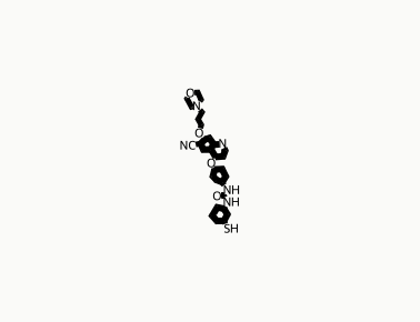 N#Cc1cc2c(Oc3ccc(NC(=O)Nc4cccc(S)c4)cc3)ccnc2cc1OCCCN1CCOCC1